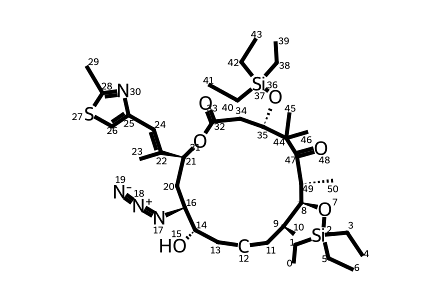 CC[Si](CC)(CC)O[C@H]1[C@@H](C)CCC[C@H](O)[C@@H](N=[N+]=[N-])C[C@@H](/C(C)=C/c2csc(C)n2)OC(=O)C[C@H](O[Si](CC)(CC)CC)C(C)(C)C(=O)[C@@H]1C